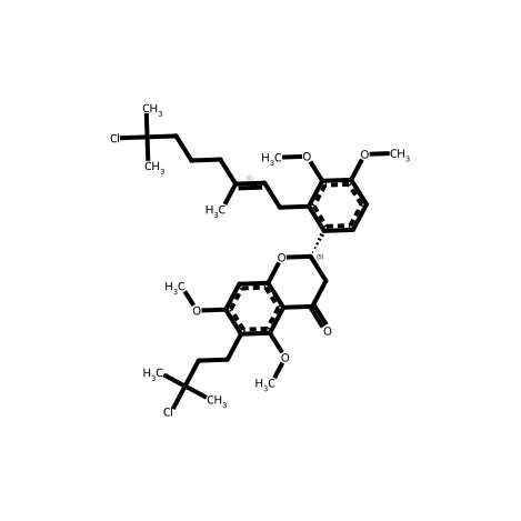 COc1cc2c(c(OC)c1CCC(C)(C)Cl)C(=O)C[C@@H](c1ccc(OC)c(OC)c1C/C=C(\C)CCCC(C)(C)Cl)O2